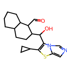 O=CC1C2CCCCC2CCC1C(O)c1c(C2CC2)sc2cncn12